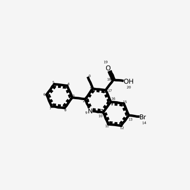 Cc1c(-c2ccccc2)nc2ccc(Br)cc2c1C(=O)O